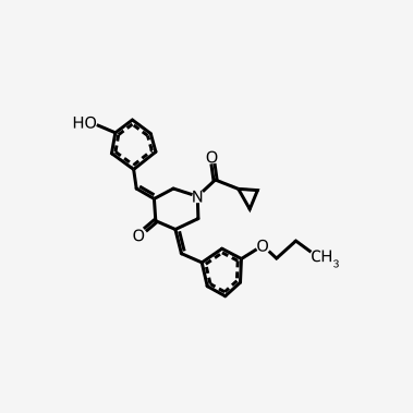 CCCOc1cccc(/C=C2\CN(C(=O)C3CC3)C/C(=C\c3cccc(O)c3)C2=O)c1